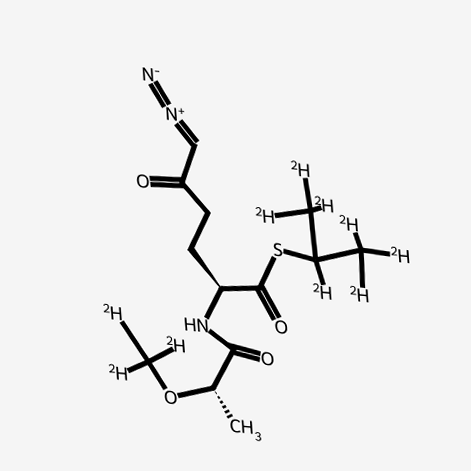 [2H]C([2H])([2H])O[C@@H](C)C(=O)N[C@@H](CCC(=O)C=[N+]=[N-])C(=O)SC([2H])(C([2H])([2H])[2H])C([2H])([2H])[2H]